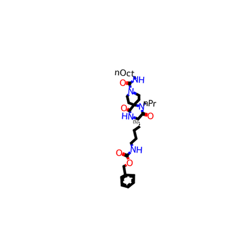 CCCCCCCCNC(=O)N1CCC2(CC1)C(=O)N[C@@H](CCCCNC(=O)OCc1ccccc1)C(=O)N2CCC